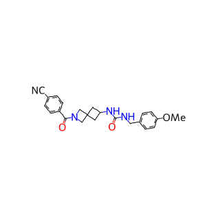 COc1ccc(CNC(=O)NC2CC3(C2)CN(C(=O)c2ccc(C#N)cc2)C3)cc1